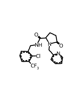 O=C(NCc1cccc(C(F)(F)F)c1Cl)C1CCC(=O)N1Cc1ccccn1